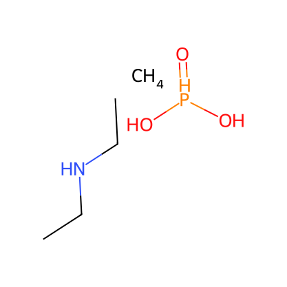 C.CCNCC.O=[PH](O)O